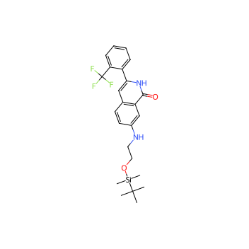 CC(C)(C)[Si](C)(C)OCCNc1ccc2cc(-c3ccccc3C(F)(F)F)[nH]c(=O)c2c1